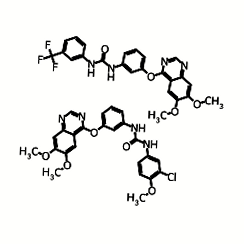 COc1cc2ncnc(Oc3cccc(NC(=O)Nc4cccc(C(F)(F)F)c4)c3)c2cc1OC.COc1ccc(NC(=O)Nc2cccc(Oc3ncnc4cc(OC)c(OC)cc34)c2)cc1Cl